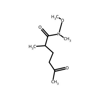 CON(C)C(=O)C(C)CCC(C)=O